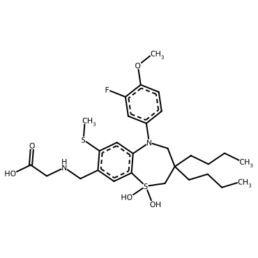 CCCCC1(CCCC)CN(c2ccc(OC)c(F)c2)c2cc(SC)c(CNCC(=O)O)cc2S(O)(O)C1